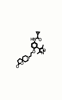 Cc1noc(C)c1-c1cc(NC(=O)C2CC2)ccc1OCCN1CCC2(CCC(=O)O2)CC1